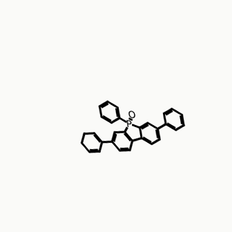 O=P1(c2ccccc2)c2cc(C3=CCCC=C3)ccc2-c2ccc(-c3ccccc3)cc21